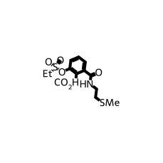 CCS(=O)(=O)Oc1cccc(C(=O)NCCSC)c1C(=O)O